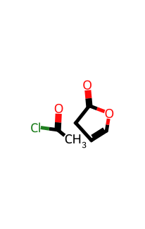 CC(=O)Cl.O=C1CC=CO1